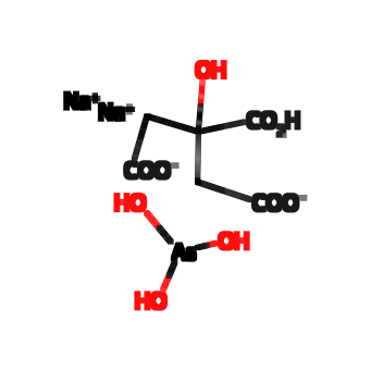 O=C([O-])CC(O)(CC(=O)[O-])C(=O)O.O[As](O)O.[Na+].[Na+]